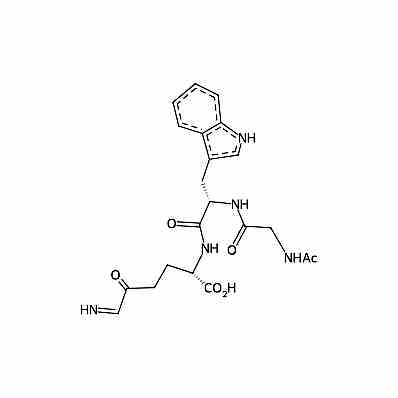 CC(=O)NCC(=O)N[C@@H](Cc1c[nH]c2ccccc12)C(=O)N[C@@H](CCC(=O)C=N)C(=O)O